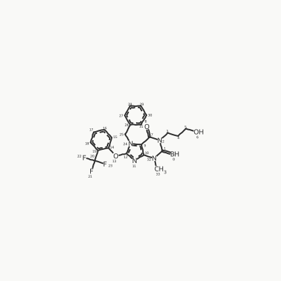 B=C1N(CCCO)C(=O)c2c(nc(Oc3ccccc3C(F)(F)F)n2Cc2ccccc2)N1C